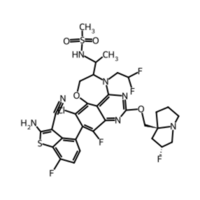 CC(NS(C)(=O)=O)C1COc2c(Cl)c(-c3ccc(F)c4sc(N)c(C#N)c34)c(F)c3nc(OC[C@@]45CCCN4C[C@H](F)C5)nc(c23)N1CC(F)F